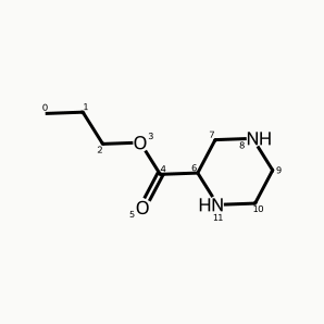 CCCOC(=O)C1CNCCN1